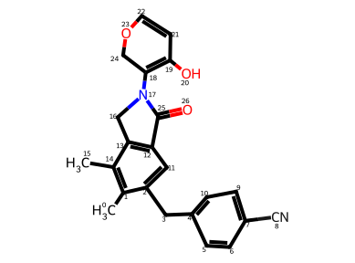 Cc1c(Cc2ccc(C#N)cc2)cc2c(c1C)CN(C1=C(O)C=COC1)C2=O